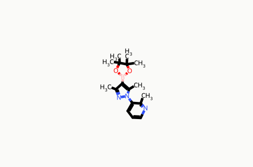 Cc1ncccc1-n1nc(C)c(B2OC(C)(C)C(C)(C)O2)c1C